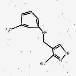 CC(C)(C)c1n[nH]cc1CNc1cccc(C(F)(F)F)c1